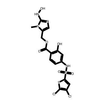 Cn1c(COC(=O)c2ccc(NS(=O)(=O)c3cc(Cl)c(Cl)s3)cc2O)cnc1NO